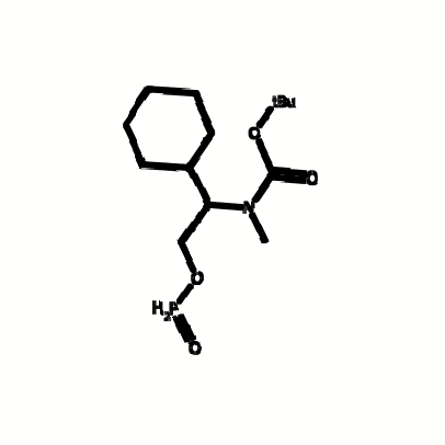 CN(C(=O)OC(C)(C)C)C(CO[PH2]=O)C1CCCCC1